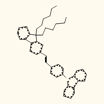 CCCCCCC1(CCCCCC)c2ccccc2-c2ccc(C=Cc3ccc(-n4c5ccccc5c5ccccc54)cc3)cc21